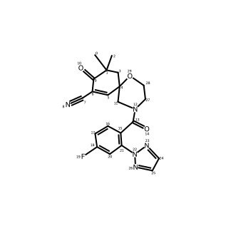 CC1(C)CC2(C=C(C#N)C1=O)CN(C(=O)c1ccc(F)cc1-n1nccn1)CCO2